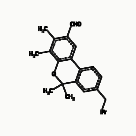 Cc1c(C=O)cc2c(c1C)OC(C)(C)c1cc(CC(C)C)ccc1-2